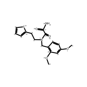 COc1ccc(CN(CCc2cccs2)C(=O)C(N)=O)c(OC)c1